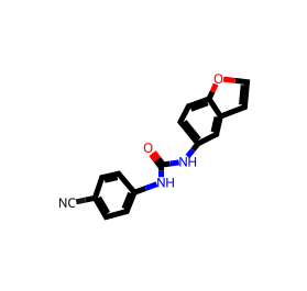 N#Cc1ccc(NC(=O)Nc2ccc3occc3c2)cc1